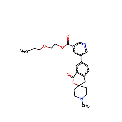 COCCOCCOC(=O)c1cncc(-c2ccc3c(c2)C(=O)OC2(CCN(C=O)CC2)C3)c1